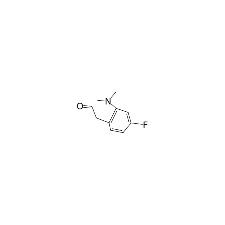 CN(C)c1cc(F)ccc1CC=O